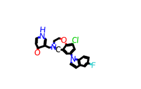 O=c1cc[nH]cc1CN1CCOc2c(Cl)cc(-n3ccc4cc(F)ccc43)cc2C1